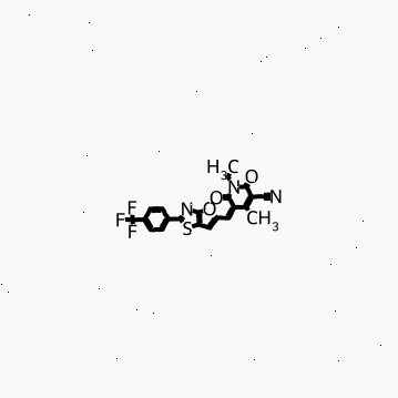 CCN1C(=O)C(C#N)=C(C)/C(=C/c2cc3sc(-c4ccc(C(F)(F)F)cc4)nc3o2)C1=O